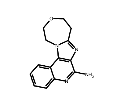 Nc1nc2ccccc2c2c1nc1n2CCOCC1